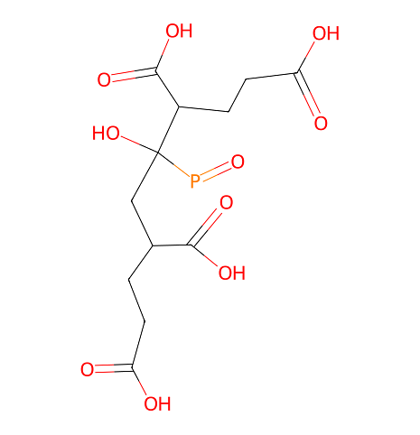 O=PC(O)(CC(CCC(=O)O)C(=O)O)C(CCC(=O)O)C(=O)O